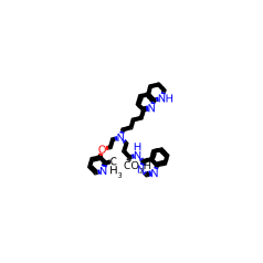 Cc1ncccc1OCCN(CCCCc1ccc2c(n1)NCCC2)CCC(Nc1ncnc2ccccc12)C(=O)O